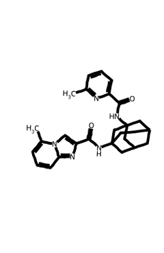 Cc1cccc(C(=O)NC23CC4CC(C2)CC(NC(=O)c2cn5c(C)cccc5n2)(C4)C3)n1